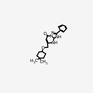 CC1(C)CCC(OCC2=CC(=O)N3N=C(c4ccccc4)NC3N2)CC1